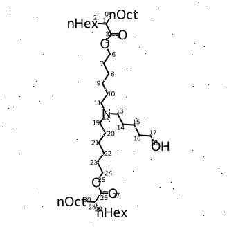 CCCCCCCCC(CCCCCC)C(=O)OCCCCCCN(CCCCCO)CCCCCCOC(=O)[C@@H](CCCCCC)CCCCCCCC